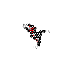 Cc1ccc2c(n1)oc1c(-c3ccc(-c4ccccc4-c4cc(-c5ccccc5-c5ccc(-c6cccc7c6oc6nc(C)ccc67)nc5)cc(-c5cccc(-c6cc(-c7ccccc7-c7ccc(-c8cccc9c8oc8nc(C)ccc89)nc7)cc(-c7ccccc7-c7ccc(-c8cccc9c8oc8nc(C)ccc89)nc7)c6)c5-c5cnc(-c6ccccc6)nc5)c4)cn3)cccc12